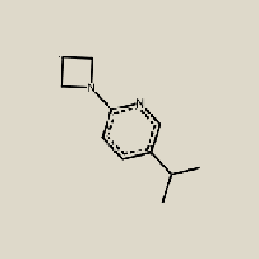 CC(C)c1ccc(N2C[CH]C2)nc1